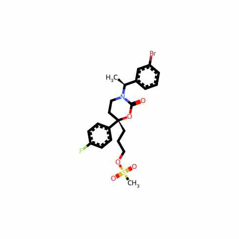 C[C@@H](c1cccc(Br)c1)N1CC[C@@](CCCOS(C)(=O)=O)(c2ccc(F)cc2)OC1=O